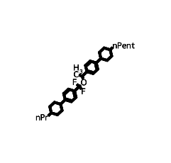 CCCCCC1CCC(c2ccc(C(C)OC(F)(F)c3ccc(C4CCC(CCC)CC4)cc3)cc2)CC1